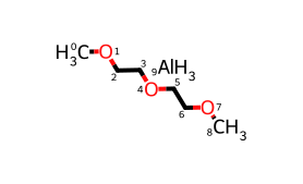 COCCOCCOC.[AlH3]